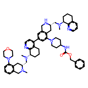 CN1Cc2cccc(N3CCOCC3)c2C[C@@H]1CN(C)[C@H]1CCCc2c(-c3cc4c(c(N5CCC(NC(=O)OCc6ccccc6)CC5)c3)C[C@@H](CN(C)[C@H]3CCCc5cccnc53)NC4)ccnc21